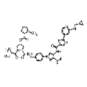 CN1CCC[C@H]1C(=O)O[C@@H]1C[C@@H](C(=O)NCc2ccc(-n3cc(NC(=O)c4coc(-c5ccnc(NCC6CC6)c5)n4)c(C(F)F)n3)cc2)N(C(=O)[C@@H](N)C(C)(C)C)C1